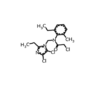 CCc1cccc(C)c1N(Cn1c(CC)nc(Cl)c1Cl)C(=O)CCl